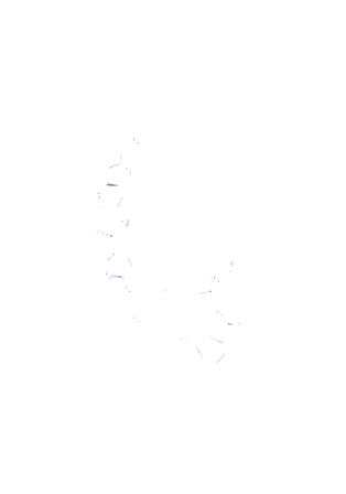 C[C@H]1CN(CC2CCN(c3cccc4c3CN(C3CCC(=O)NC3=O)C4=O)CC2)CCN1c1ccc(C(=O)Nc2cc3[nH]c([C@H]4CCCN4C)cc3cn2)cn1